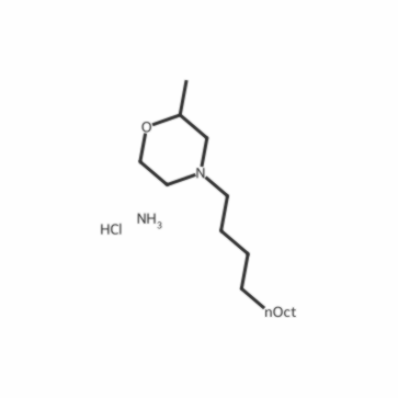 CCCCCCCCCCCCN1CCOC(C)C1.Cl.N